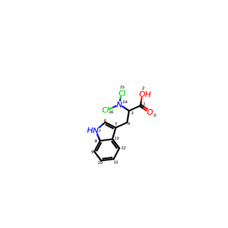 O=C(O)C(Cc1c[nH]c2ccccc12)N(Cl)Cl